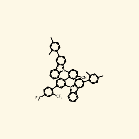 Cc1ccc(-c2ccc3c(c2)c2ccccc2n3-c2ccc(C#N)cc2-c2ccc(-c3ccc(C(F)(F)F)cc3C(F)(F)F)cc2-n2c3ccccc3c3cc(-c4ccc(C)cc4C)ccc32)c(C)c1